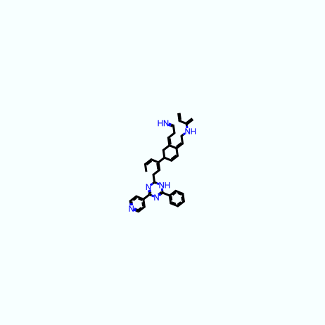 C=CC(=C)NC/C=C1/C=CC(C(/C=C\C)=C/CC2N=C(c3ccncc3)N=C(c3ccccc3)N2)C/C1=C/CC=N